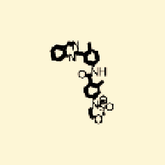 Cc1cc(N2CCOCS2(=O)=O)ccc1C(=O)Nc1ccc(C)c(-c2ncc3ccccc3n2)c1